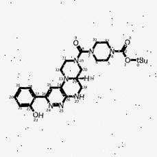 CC(C)(C)OC(=O)N1CCN(C(=O)N2CCN3c4cc(-c5ccccc5O)nnc4NC[C@H]3C2)CC1